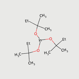 CCC(C)(C)[O][In]([O]C(C)(C)CC)[O]C(C)(C)CC